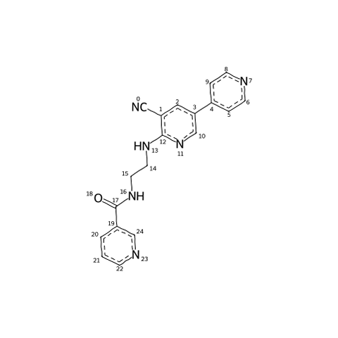 N#Cc1cc(-c2ccncc2)cnc1NCCNC(=O)c1cccnc1